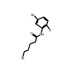 O=C(CCCCBr)Nc1cc(Br)ccc1F